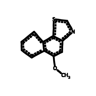 COc1cc2ncsc2c2ccccc12